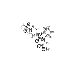 CCS(=O)(=O)N1CCC(n2c(=O)n(CC(=O)O)c3cccnc32)CC1